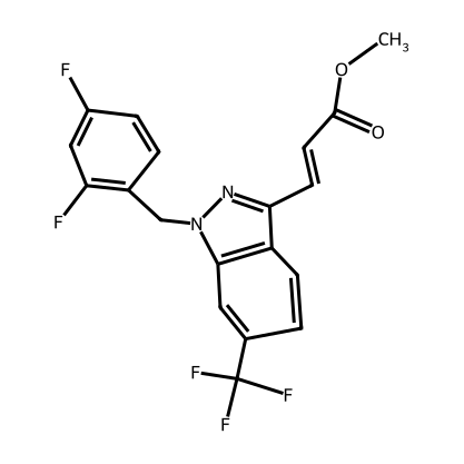 COC(=O)C=Cc1nn(Cc2ccc(F)cc2F)c2cc(C(F)(F)F)ccc12